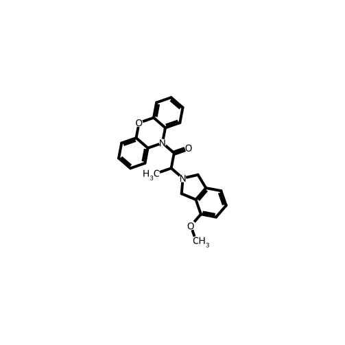 COc1cccc2c1CN(C(C)C(=O)N1c3ccccc3Oc3ccccc31)C2